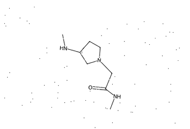 CNC(=O)CN1CCC(NC)C1